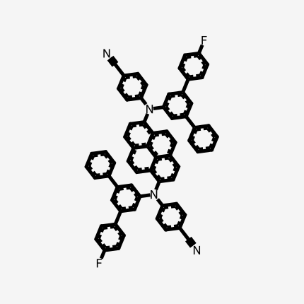 N#Cc1ccc(N(c2cc(-c3ccccc3)cc(-c3ccc(F)cc3)c2)c2ccc3ccc4c(N(c5ccc(C#N)cc5)c5cc(-c6ccccc6)cc(-c6ccc(F)cc6)c5)ccc5ccc2c3c54)cc1